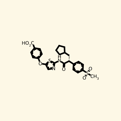 CS(=O)(=O)c1ccc([C@@H](CC2CCCC2)C(=O)Nc2ncc(Oc3ccc(C(=O)O)cc3)s2)cc1